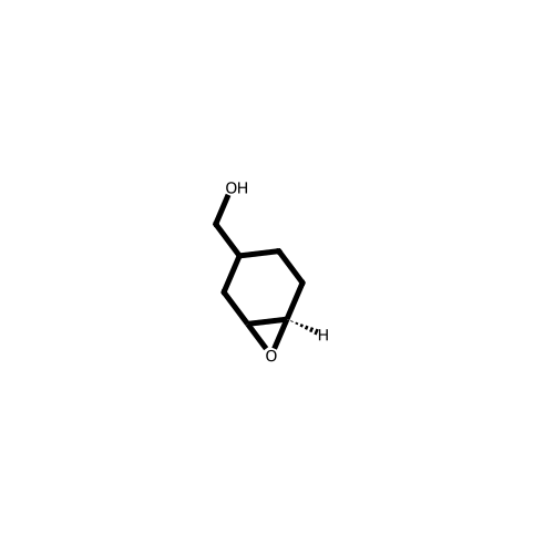 OCC1CC[C@H]2OC2C1